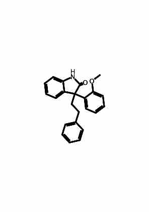 COc1ccccc1C1(CCc2ccccc2)C(=O)Nc2ccccc21